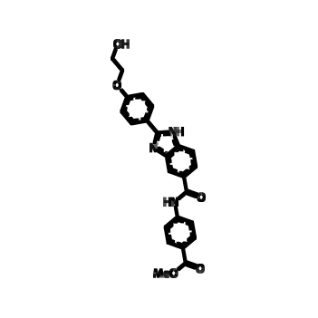 COC(=O)c1ccc(NC(=O)c2ccc3[nH]c(-c4ccc(OCCO)cc4)nc3c2)cc1